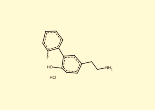 Cl.NCCc1ccc(O)c(-c2ccccc2F)c1